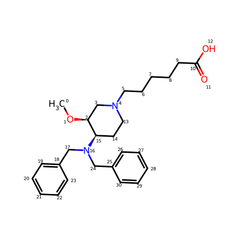 CO[C@H]1CN(CCCCCC(=O)O)CC[C@H]1N(Cc1ccccc1)Cc1ccccc1